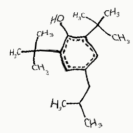 C[C](C)Cc1cc(C(C)(C)C)c(O)c(C(C)(C)C)c1